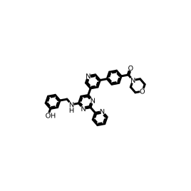 O=C(c1ccc(-c2cncc(-c3cc(NCc4cccc(O)c4)nc(-c4ccccn4)n3)c2)cc1)N1CCOCC1